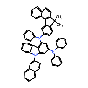 CC1(C)c2ccc(N(c3ccccc3)c3cc(N(c4ccccc4)c4ccccc4)cc4c3c3ccccc3n4-c3ccc4ccccc4c3)cc2-c2c1ccc1ccccc21